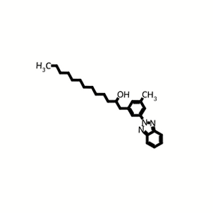 CCCCCCCCCCCC(O)Cc1cc(C)cc(-n2nc3ccccc3n2)c1